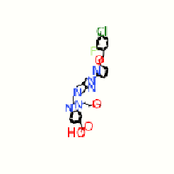 COCCn1c(CN2Cc3cn(-c4cccc(OCc5ccc(Cl)cc5F)n4)nc3C2)nc2ccc(C(=O)O)cc21